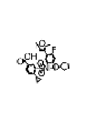 Cc1oncc1-c1cc(NS(=O)(=O)c2cc(C(=O)O)ccc2C2CC2)c(OC2CCCC2)cc1F